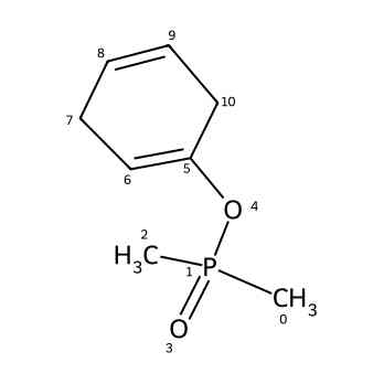 CP(C)(=O)OC1=CCC=CC1